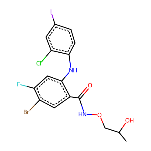 CC(O)CONC(=O)c1cc(Br)c(F)cc1Nc1ccc(I)cc1Cl